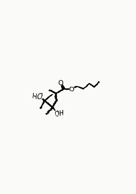 CCCCCOC(=O)C(C)CC(C)(O)C(C)(C)O